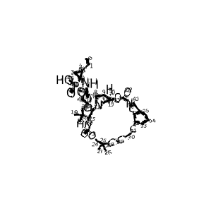 C=C[C@@H]1C[C@]1(NC(=O)[C@@H]1C[C@@H]2CN1C(=O)[C@H](C(C)(C)C)NC(=O)OCC(C)(C)CCCCc1cccc3c1CN(C3)C(=O)O2)P(=O)(O)OCC